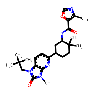 Cc1ncoc1C(=O)NC1CC(c2ccc3c(n2)n(C)c(=O)n3CC(C)(C)C)CCC1(C)C